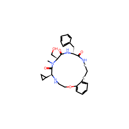 CN1C(=O)[C@H](C2CC2)NCCOc2ccccc2CCCNC(=O)[C@@H](Cc2ccccc2)NC(=O)[C@@H]1CO